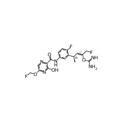 C[C@H](/C=C(/CF)OC(=N)N)c1cc(NC(=O)c2ncc(OCF)nc2O)ccc1F